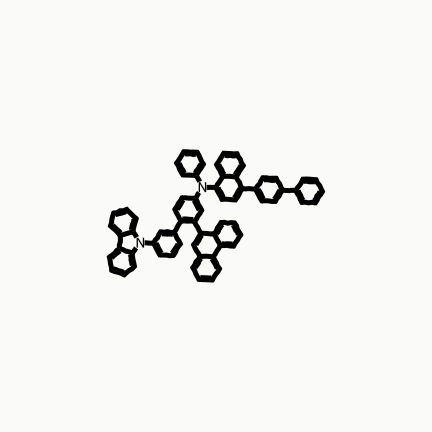 c1ccc(-c2ccc(-c3ccc(N(c4ccccc4)c4ccc(-c5cccc(-n6c7ccccc7c7ccccc76)c5)c(-c5cc6ccccc6c6ccccc56)c4)c4ccccc34)cc2)cc1